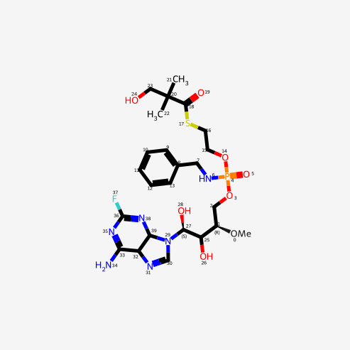 CO[C@H](COP(=O)(NCc1ccccc1)OCCSC(=O)C(C)(C)CO)C(O)[C@H](O)N1C=NC2C(N)=NC(F)=NC21